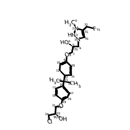 CN1NN(C[C@H](O)COC2=CCC(C(C)(C)c3ccc(OC[C@@H](O)CCl)cc3)C=C2)C=C1CF